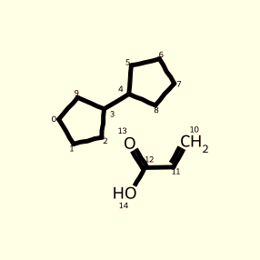 C1CCC(C2CCCC2)C1.C=CC(=O)O